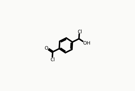 O=C(Cl)c1ccc(C(O)Cl)cc1